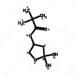 CC(C)(C)C(=O)OC1COS(O)(O)C1